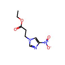 CCOC(=O)CCn1cnc([N+](=O)[O-])c1